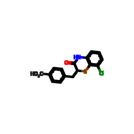 O=C(O)c1ccc(CC2Sc3c(Cl)cccc3NC2=O)cc1